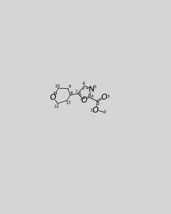 COC(=O)c1ncc(C2CCOCC2)o1